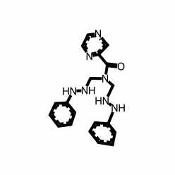 O=C(c1cnccn1)N(CNNc1ccccc1)CNNc1ccccc1